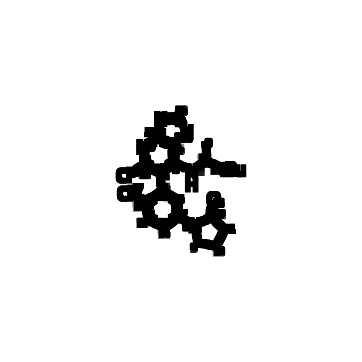 CC(Nc1c(-c2cc(N3CCCC3=O)ccc2Cl)c(Cl)nc2ncnn12)C(C)(C)C